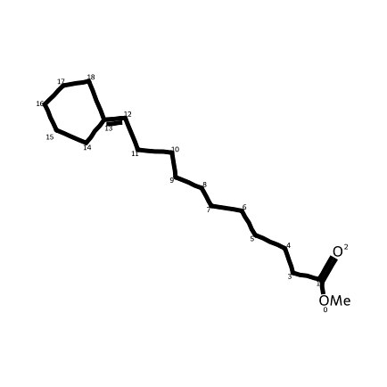 COC(=O)CCCCCCCCCC=C1CCCCC1